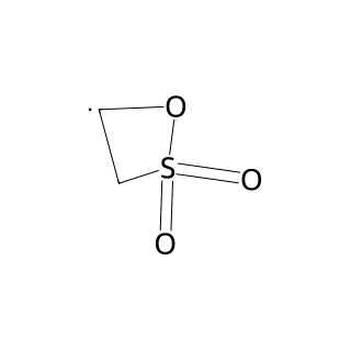 O=S1(=O)C[CH]O1